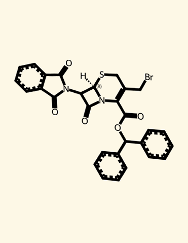 O=C(OC(c1ccccc1)c1ccccc1)C1=C(CBr)CS[C@@H]2C(N3C(=O)c4ccccc4C3=O)C(=O)N12